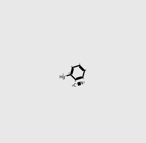 [C-]#N.[Hg+][c]1ccccc1